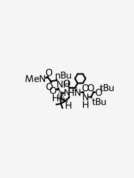 CCCCC(NC(=O)[C@@H]1[C@@H]2[C@H](CN1C(=O)[C@@H](NC(=O)NC(C(=O)OC(C)(C)C)C(C)(C)C)C1CCCCC1)C2(C)C)C(=O)C(=O)NC